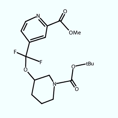 COC(=O)c1cc(C(F)(F)OC2CCCN(C(=O)OC(C)(C)C)C2)ccn1